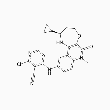 Cn1c(=O)c2c(c3cc(Nc4ccnc(Cl)c4C#N)ccc31)N[C@@H](C1CC1)CCO2